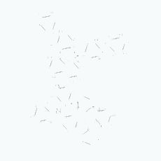 C1=CC2=C(CC1)C(c1ccccc1)(c1ccccc1)c1cc(N(c3ccccc3)c3ccc(-c4ccc(N(c5ccc(-c6ccccc6)cc5)c5ccc(-c6ccccc6)cc5)c5ccccc45)cc3)ccc12